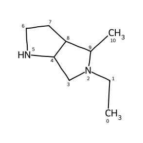 CCN1CC2NCCC2C1C